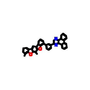 Cc1cccc2c1oc1c(C)c3oc4c(-c5cccc(-c6cnc7c8ccccc8c8ccccc8c7n6)c5)cccc4c3cc12